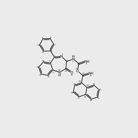 N=C(NC1N=C(c2ccccc2)c2ccccc2NC1=O)OC(=N)c1cccc2ccccc12